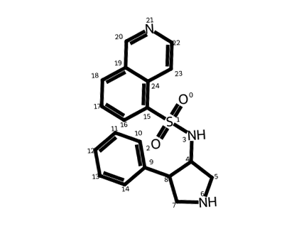 O=S(=O)(NC1CNCC1c1ccccc1)c1cccc2cnccc12